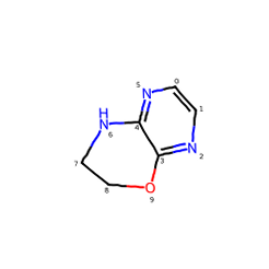 c1cnc2c(n1)NCCO2